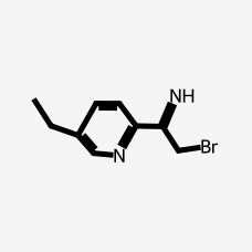 CCc1ccc(C(=N)CBr)nc1